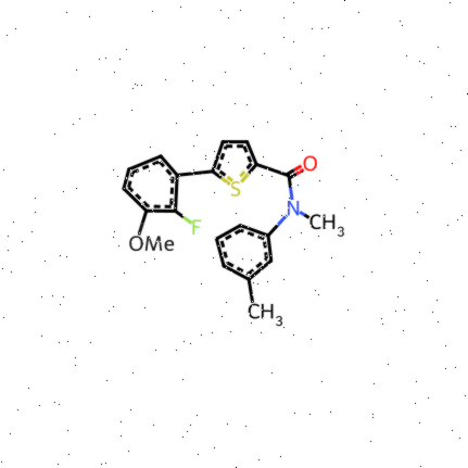 COc1cccc(-c2ccc(C(=O)N(C)c3cccc(C)c3)s2)c1F